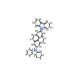 c1ccc2c(c1)c1ccccc1n2-c1cc2ccc3cc(-n4c5ccccc5c5ccccc54)cc4ccc(c1)c2c34